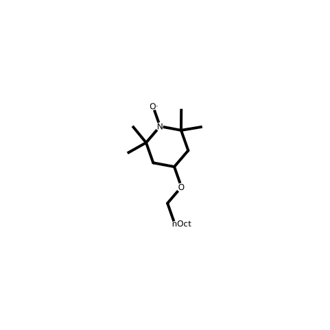 CCCCCCCCCOC1CC(C)(C)N([O])C(C)(C)C1